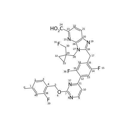 Cc1ccc(COc2nccc(-c3cc(F)c(Cc4nc5ccc(C(=O)O)nc5n4CC4(CF)CC4)cc3F)n2)c(F)c1